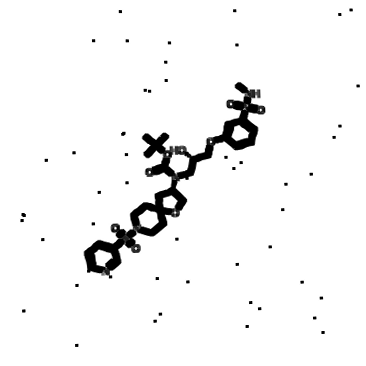 CNS(=O)(=O)c1cccc(OC[C@@H](O)CN(C(=O)OC(C)(C)C)[C@H]2COC3(CCN(S(=O)(=O)c4cccnc4)CC3)C2)c1